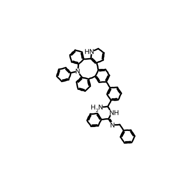 NC(N/C(=N\Cc1ccccc1)c1ccccc1)c1cccc(-c2ccc3c4c(c5ccccc5n(-c5ccccc5)c5ccccc5c3c2)NCC=C4)c1